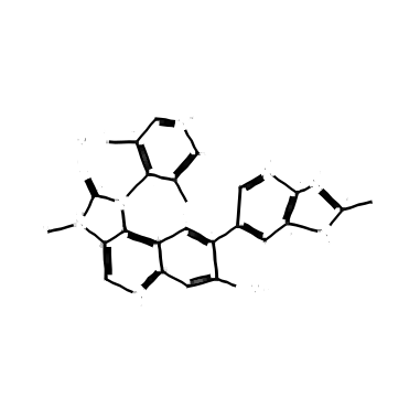 COc1cc2ncc3c(c2cc1-c1cnc2nc(C)[nH]c2c1)n(-c1c(F)cncc1OC)c(=O)n3C